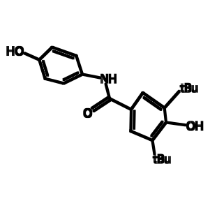 CC(C)(C)c1cc(C(=O)Nc2ccc(O)cc2)cc(C(C)(C)C)c1O